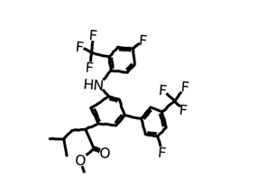 COC(=O)C(CC(C)C)c1cc(Nc2ccc(F)cc2C(F)(F)F)cc(-c2cc(F)cc(C(F)(F)F)c2)c1